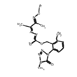 CCC(=N/N=C(C)\C(C)=N\OC(C)C)OCc1c(C)cccc1-n1nnn(C)c1=O